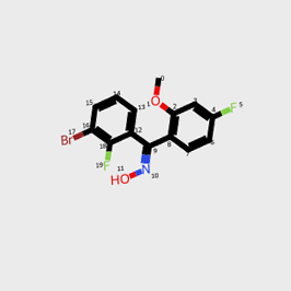 COc1cc(F)ccc1C(=NO)c1cccc(Br)c1F